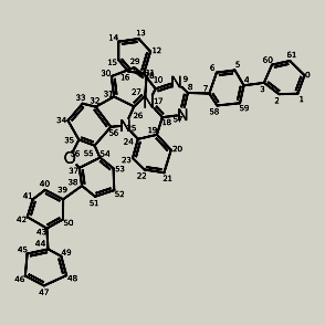 c1ccc(-c2ccc(-c3nc(-c4ccccc4)nc(-c4ccccc4-n4c5ccccc5c5ccc6oc7c(-c8cccc(-c9ccccc9)c8)cccc7c6c54)n3)cc2)cc1